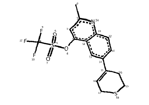 Cc1cc(OS(=O)(=O)C(F)(F)F)c2cc(C3=CCSCC3)ccc2n1